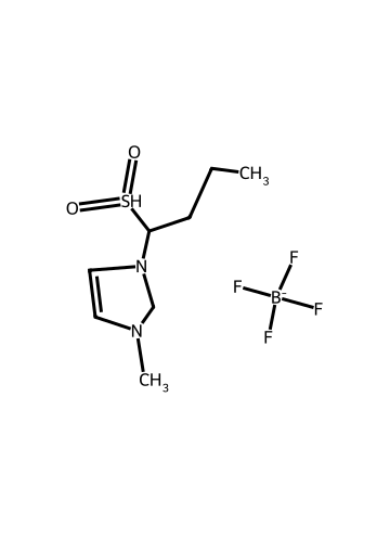 CCCC(N1C=CN(C)C1)[SH](=O)=O.F[B-](F)(F)F